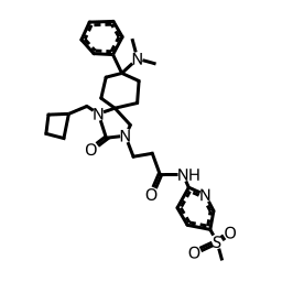 CN(C)C1(c2ccccc2)CCC2(CC1)CN(CCC(=O)Nc1ccc(S(C)(=O)=O)cn1)C(=O)N2CC1CCC1